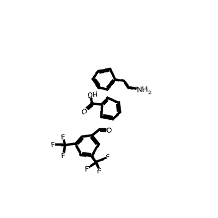 NCCc1ccccc1.O=C(O)c1ccccc1.O=Cc1cc(C(F)(F)F)cc(C(F)(F)F)c1